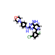 Nc1nc(Nc2ccc(N3CCOCC3)cc2)nc2c(-c3cc(Cl)ccc3F)nccc12